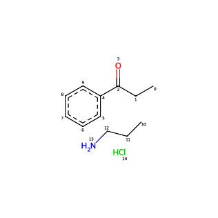 CCC(=O)c1ccccc1.CCCN.Cl